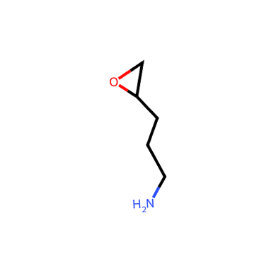 NCCCC1CO1